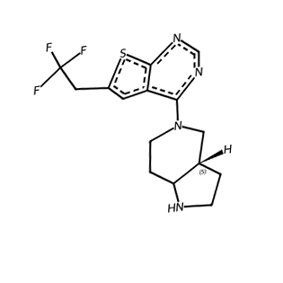 FC(F)(F)Cc1cc2c(N3CCC4NCC[C@H]4C3)ncnc2s1